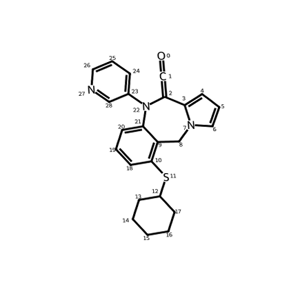 O=C=C1c2cccn2Cc2c(SC3CCCCC3)cccc2N1c1cccnc1